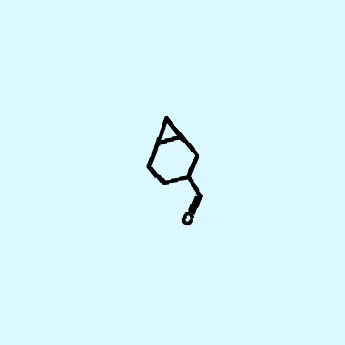 O=CC1CCC2CC2C1